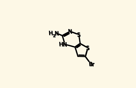 NC1=NSc2sc(Br)cc2N1